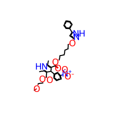 COCCOC(=O)C1=C(C)NC(C)=C(C(=O)OCCCCCCOc2cc(-c3ccccc3)[nH]n2)C1c1cccc([N+](=O)[O-])c1